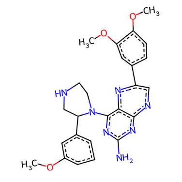 COc1cccc(C2CNCCN2c2nc(N)nc3ncc(-c4ccc(OC)c(OC)c4)nc23)c1